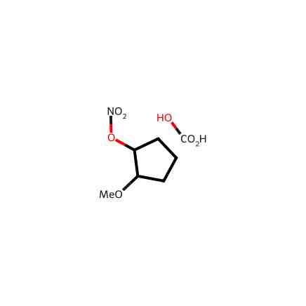 COC1CCCC1O[N+](=O)[O-].O=C(O)O